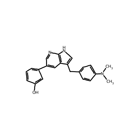 CN(C)c1ccc(Cc2c[nH]c3ncc(-c4cccc(O)c4)cc23)cc1